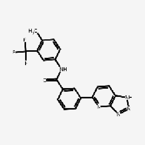 Cc1ccc(NC(=O)c2cccc(-c3ccc4[nH]nnc4n3)c2)cc1C(F)(F)F